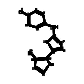 Clc1ccc(Nc2nnc(-c3sccc3Br)s2)cc1